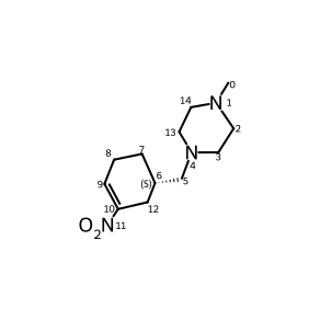 CN1CCN(C[C@H]2CCC=C([N+](=O)[O-])C2)CC1